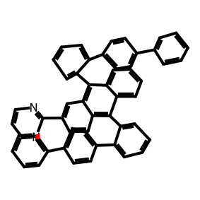 c1ccc(-c2ccc(-c3ccccc3-c3c4ccccc4c(-c4ccccc4-c4ccc(-c5ccccc5)cc4)c4cc(-c5ncccn5)ccc34)cc2)cc1